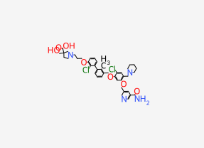 Cc1c(COc2cc(OCc3cncc(C(N)=O)c3)c(CN3CCCCC3)cc2Cl)cccc1-c1cccc(OCCCN2CCC(CO)(C(=O)O)C2)c1Cl